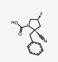 N#C[C@]1(Cc2ccccc2)C[C@H](F)CN1C(=O)O